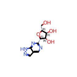 OC[C@H]1O[C@@H](c2ncc3cn[nH]c3n2)[C@H](O)[C@@H]1O